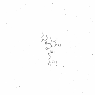 Cc1cc(I)ccc1Nc1c(C(=O)NOCCC2(O)CC2)cc(Cl)c(F)c1F